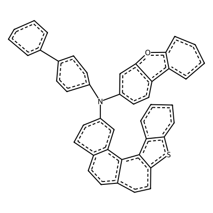 c1ccc(-c2ccc(N(c3ccc4c(c3)oc3ccccc34)c3ccc4ccc5ccc6sc7ccccc7c6c5c4c3)cc2)cc1